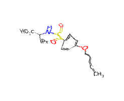 C=C=CCOc1ccc(S(=O)(=O)NC(C(=O)O)C(C)C)cc1